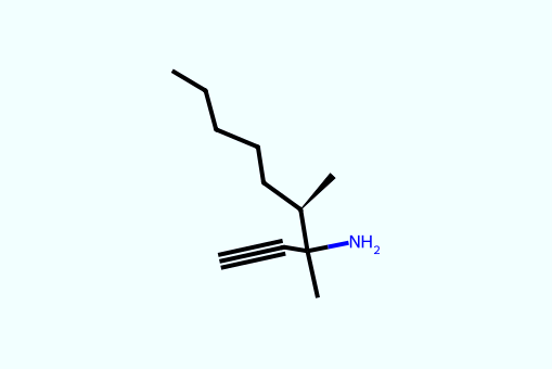 C#CC(C)(N)[C@H](C)CCCCC